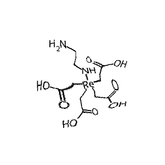 NCC[NH][Re]([CH2]C(=O)O)([CH2]C(=O)O)([CH2]C(=O)O)[CH2]C(=O)O